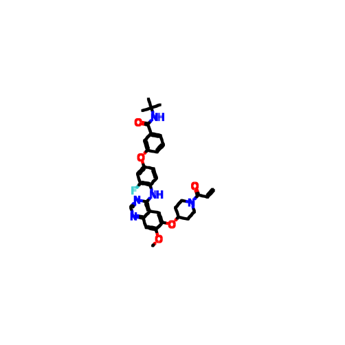 C=CC(=O)N1CCC(Oc2cc3c(Nc4ccc(Oc5cccc(C(=O)NC(C)(C)C)c5)cc4F)ncnc3cc2OC)CC1